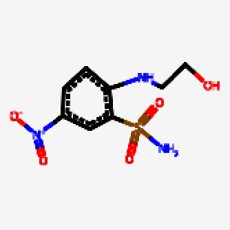 NS(=O)(=O)c1cc([N+](=O)[O-])ccc1NCCO